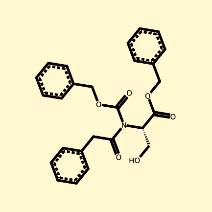 O=C(OCc1ccccc1)[C@H](CO)N(C(=O)Cc1ccccc1)C(=O)OCc1ccccc1